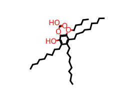 CCCCCCCCCc1c(O)c(OC(=O)O)c(OCCCCC)c(CCCCCCCCC)c1CCCCCCCCC